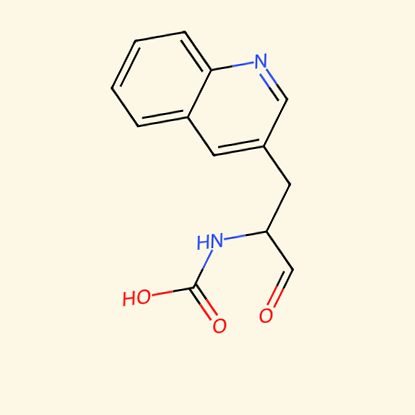 O=CC(Cc1cnc2ccccc2c1)NC(=O)O